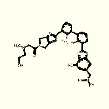 CCCN(CC)Cc1cc(C#N)c2oc(-c3cccc(-c4cccc(-c5nc6c(s5)CN(C(=O)CN(C)CCO)C6)c4C)c3C)nc2c1